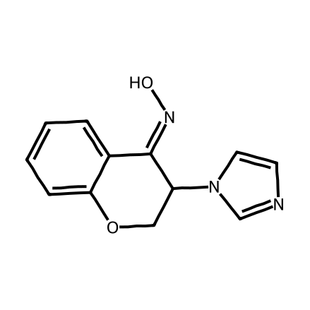 ON=C1c2ccccc2OCC1n1ccnc1